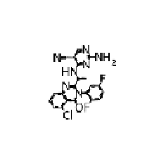 CC(Nc1nc(N)ncc1C#N)c1nc2cccc(Cl)c2c(=O)n1-c1cc(F)ccc1F